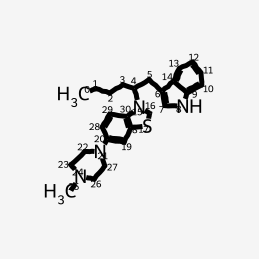 CCCCC(Cc1c[nH]c2ccccc12)N1CSc2cc(N3CCN(C)CC3)ccc21